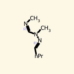 CCC/C=N/N(C)/C=N\C